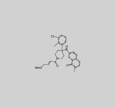 COC/C=C/C(=O)N1CCC(Nc2ccc3ccn(C)c(=O)c3c2)(c2cccc(Cl)c2C)CC1